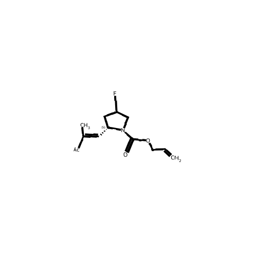 C=CCOC(=O)N1CC(F)C[C@H]1C=C(C)C(C)=O